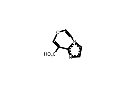 O=C(O)C1=COC=Cn2ccnc21